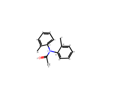 CCC(=O)N(c1ccccc1C)c1ccccc1C